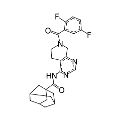 O=C(c1cc(F)ccc1F)N1CCc2c(ncnc2NC(=O)C23CC4CC(CC(C4)C2)C3)C1